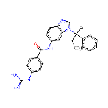 CCC(CC(=O)O)(c1ccccc1)n1cnc2ccc(NC(=O)c3ccc(NC(=N)N)cc3)cc21